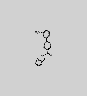 Cc1cccc(-c2ccc(C(=O)NCc3ccco3)cn2)c1